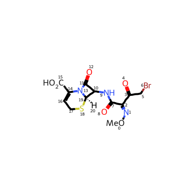 CO/N=C(/C(=O)CBr)C(=O)NC1C(=O)N2C(C(=O)O)=CCS[C@H]12